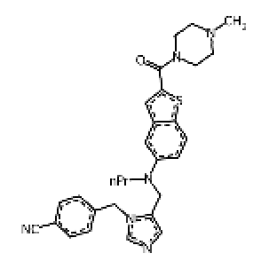 CCCN(Cc1cncn1Cc1ccc(C#N)cc1)c1ccc2sc(C(=O)N3CCN(C)CC3)cc2c1